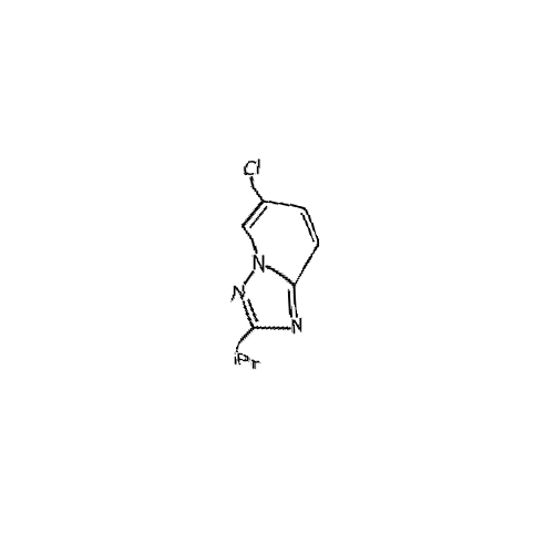 CC(C)c1nc2ccc(Cl)cn2n1